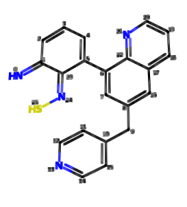 N=C1C=CC=C(c2cc(Cc3ccncc3)cc3cccnc23)/C1=N/S